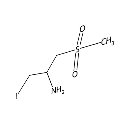 CS(=O)(=O)CC(N)CI